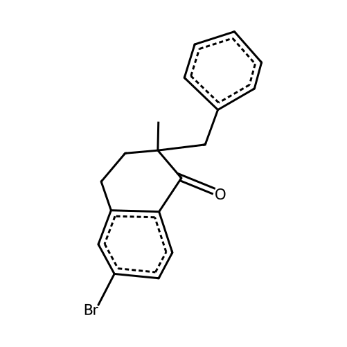 CC1(Cc2ccccc2)CCc2cc(Br)ccc2C1=O